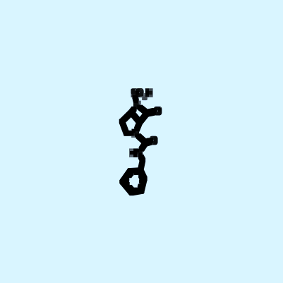 O=C(NCc1ccccc1)N1CCC2C1C(=O)N2S(=O)(=O)O